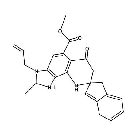 C=CCN1c2cc(C(=O)OC)c3c(c2NC1C)NC1(C=C2CC=CC=C2C1)CC3=O